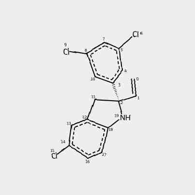 C=C[C@]1(c2cc(Cl)cc(Cl)c2)Cc2cc(Cl)ccc2N1